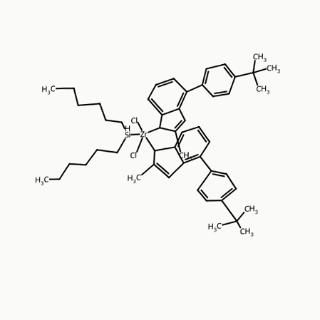 CCCCCC[SiH](CCCCCC)[Zr]([Cl])([Cl])([CH]1C(C)=Cc2c(-c3ccc(C(C)(C)C)cc3)cccc21)[CH]1C(C)=Cc2c(-c3ccc(C(C)(C)C)cc3)cccc21